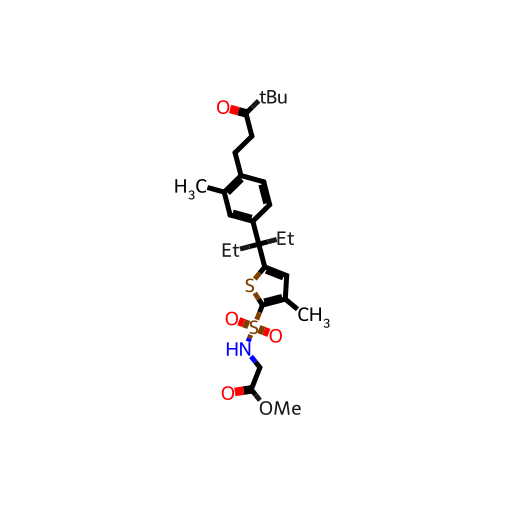 CCC(CC)(c1ccc(CCC(=O)C(C)(C)C)c(C)c1)c1cc(C)c(S(=O)(=O)NCC(=O)OC)s1